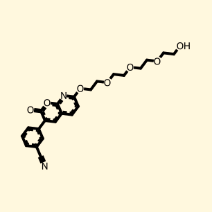 N#Cc1cccc(-c2cc3ccc(OCCOCCOCCOCCO)nc3oc2=O)c1